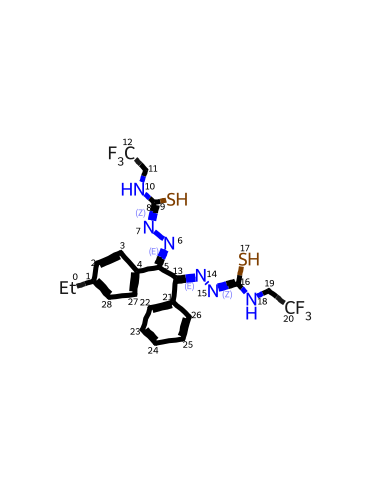 CCc1ccc(C(=N\N=C(/S)NCC(F)(F)F)/C(=N/N=C(\S)NCC(F)(F)F)c2ccccc2)cc1